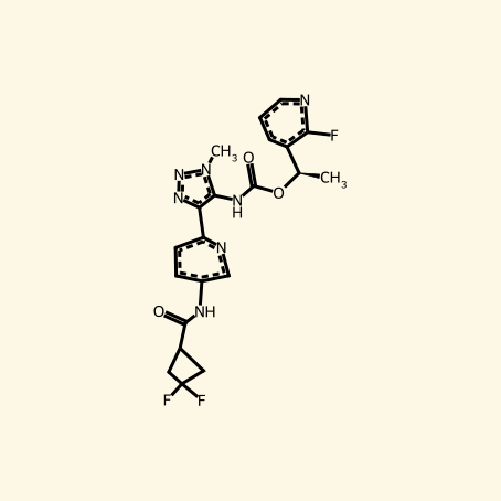 C[C@@H](OC(=O)Nc1c(-c2ccc(NC(=O)C3CC(F)(F)C3)cn2)nnn1C)c1cccnc1F